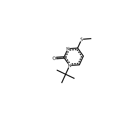 CSc1ccn(C(C)(C)C)c(=O)n1